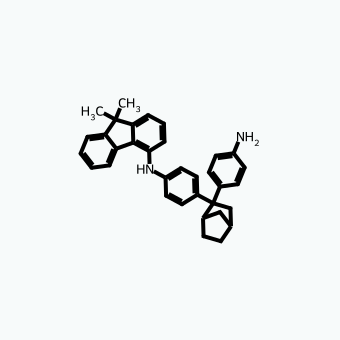 CC1(C)c2ccccc2-c2c(Nc3ccc(C4(c5ccc(N)cc5)CC5CCC4C5)cc3)cccc21